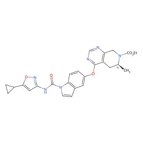 CCOC(=O)N1Cc2ncnc(Oc3ccc4c(ccn4C(=O)Nc4cc(C5CC5)on4)c3)c2C[C@@H]1C